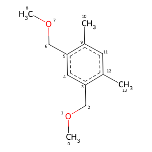 COCc1cc(COC)c(C)cc1C